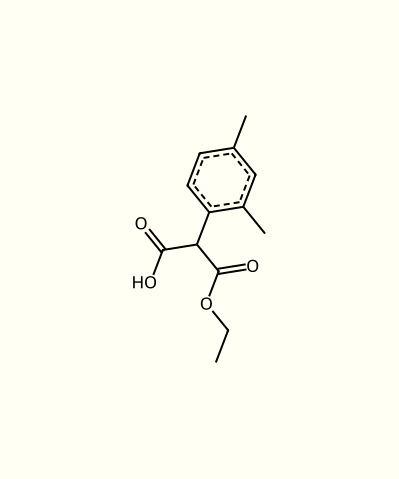 CCOC(=O)C(C(=O)O)c1ccc(C)cc1C